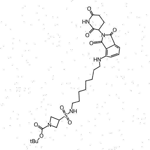 CC(C)(C)OC(=O)N1CC(S(=O)(=O)NCCCCCCCCNc2cccc3c2C(=O)N(C2CCC(=O)NC2=O)C3=O)C1